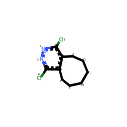 Clc1nnc(Cl)c2c1CCCCCC2